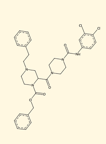 O=C(Nc1ccc(Cl)c(Cl)c1)N1CCN(C(=O)C2CN(CCc3ccccc3)CCN2C(=O)OCc2ccccc2)CC1